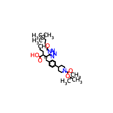 CCCC(C(=O)O)[C@H](Cc1ccc(C2CCN(C(=O)OC(C)(C)C)CC2)cc1)c1nnnn1COCC[Si](C)(C)C